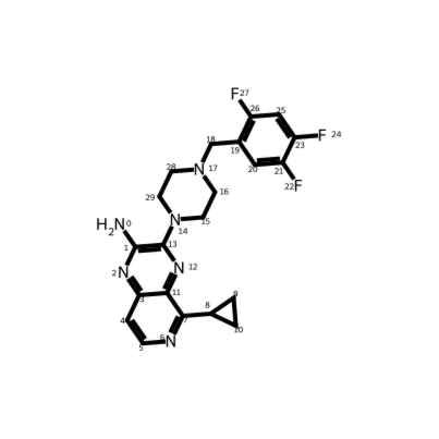 Nc1nc2ccnc(C3CC3)c2nc1N1CCN(Cc2cc(F)c(F)cc2F)CC1